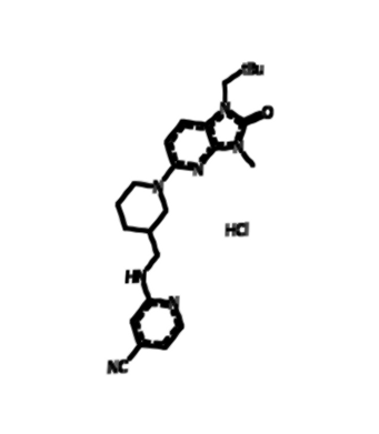 Cl.Cn1c(=O)n(CC(C)(C)C)c2ccc(N3CCCC(CNc4cc(C#N)ccn4)C3)nc21